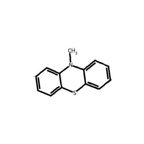 CN1c2c[c]ccc2Sc2ccccc21